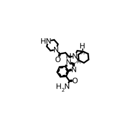 NC(=O)c1cccc2[nH]c([C@]34CCC[C@@H](CN3CCC(=O)N3CCNCC3)C4)nc12